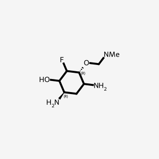 CNCO[C@@H]1C(N)C[C@@H](N)C(O)C1F